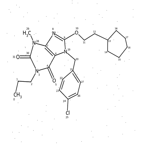 CCCn1c(=O)c2c(nc(OCCC3CCCCC3)n2Cc2ccc(Cl)cc2)n(C)c1=O